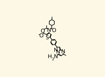 COC(=O)c1sc(-c2ccc(-c3cc4nc(C)cc(N)n4n3)cc2)cc1N(C(=O)C1CCC(C)CC1)C(C)C